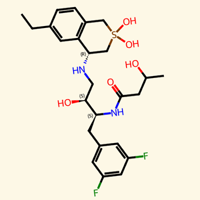 CCc1ccc2c(c1)[C@@H](NC[C@H](O)[C@H](Cc1cc(F)cc(F)c1)NC(=O)CC(C)O)CS(O)(O)C2